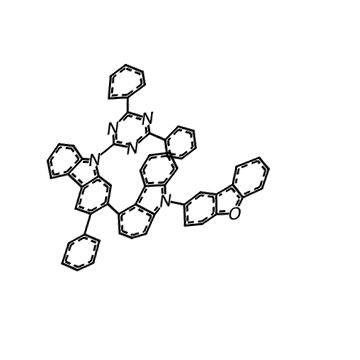 c1ccc(-c2nc(-c3ccccc3)nc(-n3c4ccccc4c4cc(-c5ccccc5)c(-c5cccc6c5c5ccccc5n6-c5ccc6oc7ccccc7c6c5)cc43)n2)cc1